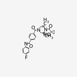 C[C@@H]1CN(C(=O)c2ccc(-c3nc4ccc(F)cc4o3)cc2)C[C@H](C)N1C(=O)C1(O)CC1